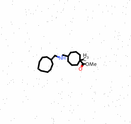 COC(=O)C1(C)CCCC(CNCC2CCCCCCCC2)CCC1